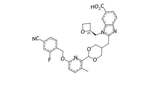 Cc1ccc(OCc2ccc(C#N)cc2F)nc1C1OCC(Cc2nc3ccc(C(=O)O)cc3n2C[C@@H]2CCO2)CO1